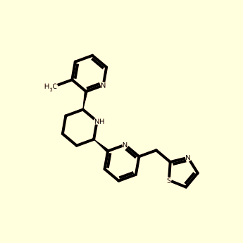 Cc1cccnc1[C@@H]1CCC[C@H](c2cccc(Cc3nccs3)n2)N1